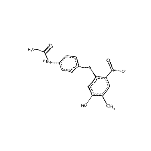 CC(=O)Nc1ccc(Sc2cc(O)c(C)cc2[N+](=O)[O-])cc1